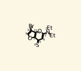 CCN(CC)c1cc(=S)c2occ(Br)c2o1